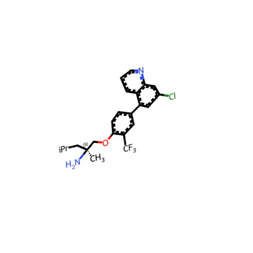 CC(C)C[C@](C)(N)COc1ccc(-c2cc(Cl)cc3ncccc23)cc1C(F)(F)F